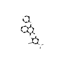 Cc1cc(N(C)C)cc2oc3c/c(=N/c4ccncc4)c4ccccc4c-3nc12